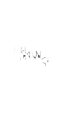 Cc1cc(C)cc(-c2cc(CN3CCNCC3=O)on2)c1